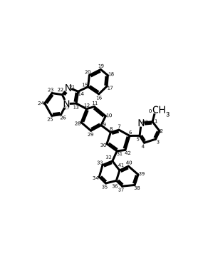 Cc1cccc(-c2cc(-c3ccc(-c4c(-c5ccccc5)nc5ccccn45)cc3)cc(-c3cccc4ccccc34)c2)n1